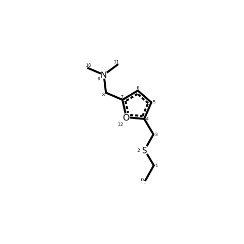 [CH2]CSCc1ccc(CN(C)C)o1